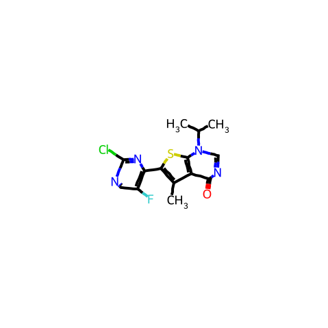 Cc1c(-c2nc(Cl)ncc2F)sc2c1c(=O)ncn2C(C)C